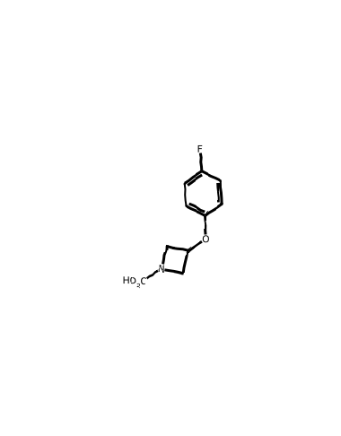 O=C(O)N1CC(Oc2ccc(F)cc2)C1